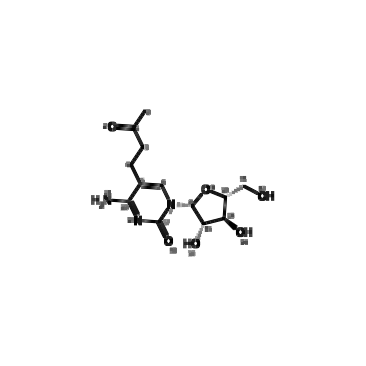 CC(=O)CCc1cn([C@@H]2O[C@H](CO)[C@@H](O)[C@@H]2O)c(=O)nc1N